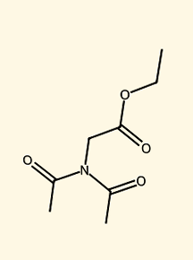 CCOC(=O)CN(C(C)=O)C(C)=O